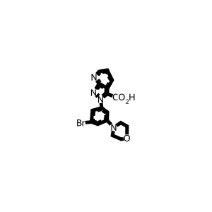 O=C(O)c1c2cccnc2nn1-c1cc(Br)cc(N2CCOCC2)c1